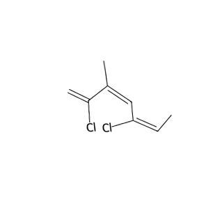 C=C(Cl)/C(C)=C\C(Cl)=C/C